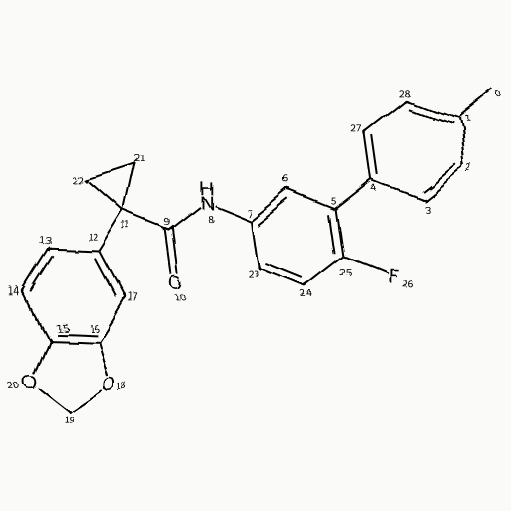 Cc1ccc(-c2cc(NC(=O)C3(c4ccc5c(c4)OCO5)CC3)ccc2F)cc1